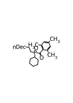 CCCCCCCCCCCCP(=O)(C(=O)c1c(C)cc(C)cc1C)C1CCCCC1